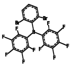 Fc1c(F)c(F)c(B(c2c(Br)cccc2Br)c2c(F)c(F)c(F)c(F)c2F)c(F)c1F